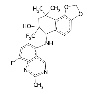 Cc1ncc2c(NC3c4ccc5c(c4C(C)(C)CC3(O)C(F)(F)F)OCO5)ccc(F)c2n1